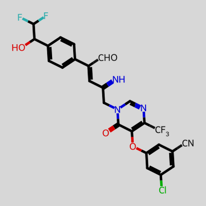 N#Cc1cc(Cl)cc(Oc2c(C(F)(F)F)ncn(CC(=N)/C=C(\C=O)c3ccc(C(O)C(F)F)cc3)c2=O)c1